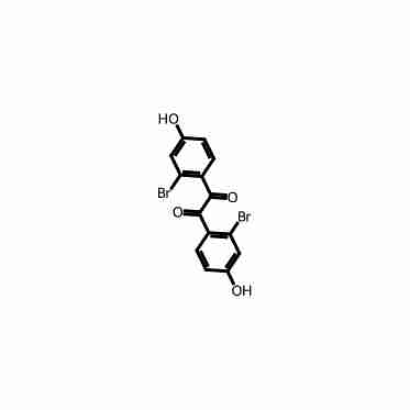 O=C(C(=O)c1ccc(O)cc1Br)c1ccc(O)cc1Br